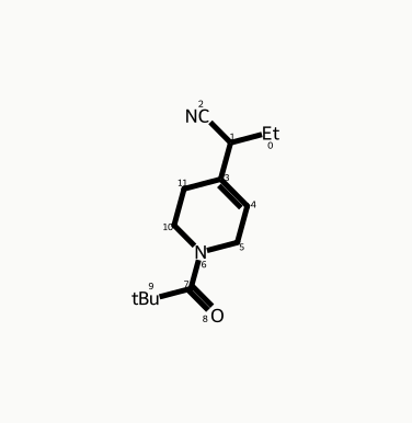 CCC(C#N)C1=CCN(C(=O)C(C)(C)C)CC1